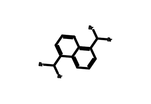 BrC(Br)c1cccc2c(C(Br)Br)cc[c]c12